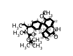 CCC(c1ccc(-c2c(OC)ccc3[nH]c(=O)c4sccc4c23)cc1)N(C)C(=O)OC(C)(C)C